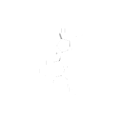 C=C1C[C@H](C(CC)OP(PP)P(P)P)O[C@H]1C(C)C